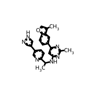 Cc1nc(NC(C)c2ccc(-c3cn[nH]c3)cn2)cc(-c2ccc3occ(C)c3c2)n1